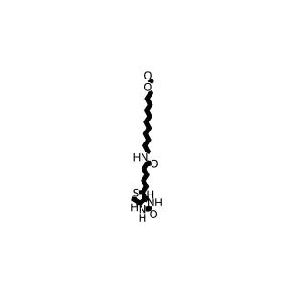 O=COCCCCCCCCCCCNC(=O)CCCCC1SC[C@@H]2NC(=O)N[C@H]12